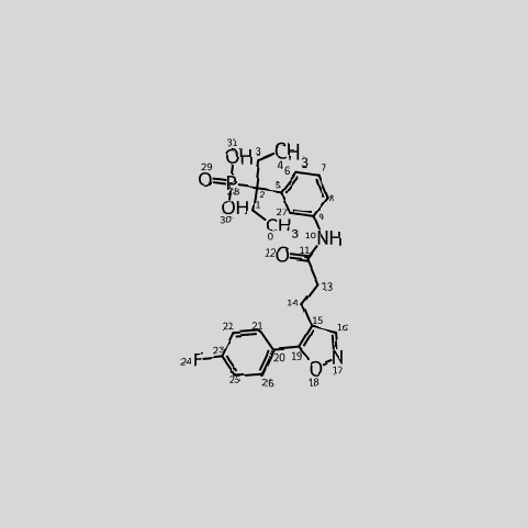 CCC(CC)(c1cccc(NC(=O)CCc2cnoc2-c2ccc(F)cc2)c1)P(=O)(O)O